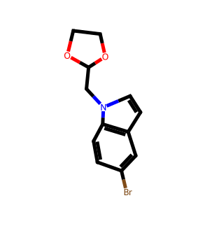 Brc1ccc2c(ccn2CC2OCCO2)c1